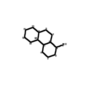 FC1CCCC2C1CCC1CCCCC12